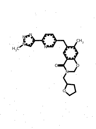 Cc1cc2c(cc1Cc1ccc(-c3cn(C)nn3)nc1)C(=O)N(CC1CCCO1)CO2